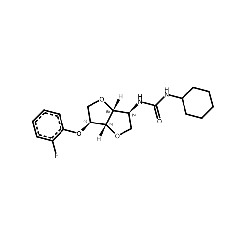 O=C(NC1CCCCC1)N[C@H]1CO[C@H]2[C@@H]1OC[C@@H]2Oc1ccccc1F